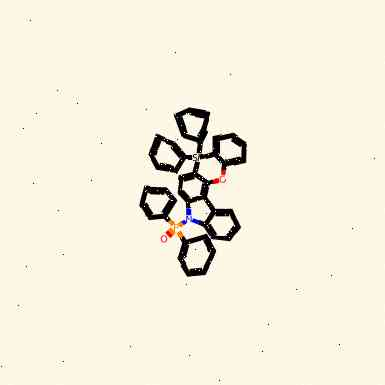 O=P(c1ccccc1)(c1ccccc1)n1c2ccccc2c2c3c(ccc21)[Si](c1ccccc1)(c1ccccc1)c1ccccc1O3